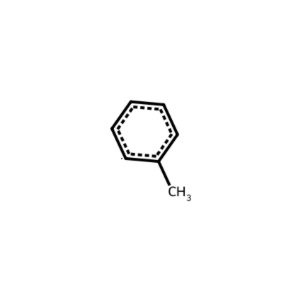 Cc1[c]cccc1